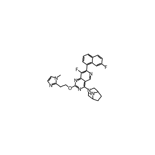 Cn1ccnc1CCOc1nc(N2CC3CCC(C2)N3)c2cnc(-c3cccc4ccc(F)cc34)c(F)c2n1